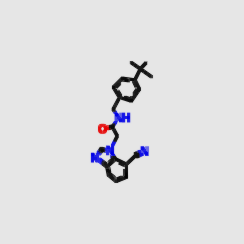 CC(C)(C)c1ccc(CNC(=O)Cn2cnc3cccc(C#N)c32)cc1